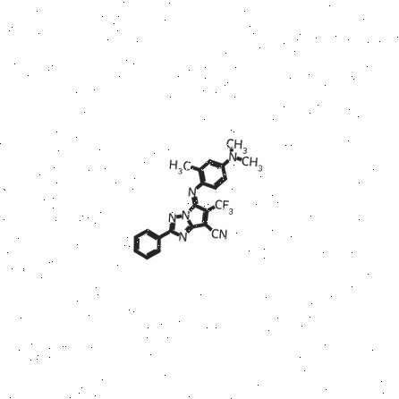 Cc1cc(N(C)C)ccc1N=C1C(C(F)(F)F)=C(C#N)c2nc(-c3ccccc3)nn21